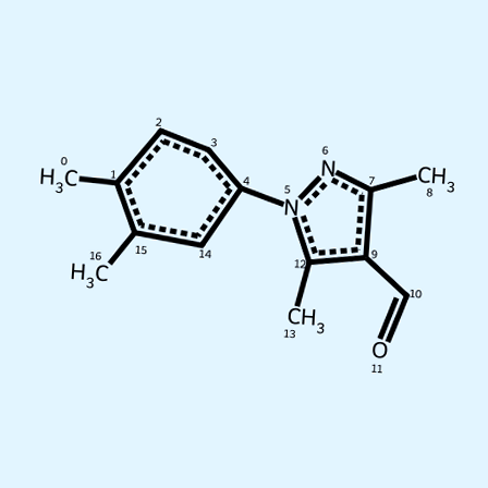 Cc1ccc(-n2nc(C)c(C=O)c2C)cc1C